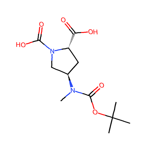 CN(C(=O)OC(C)(C)C)[C@@H]1C[C@@H](C(=O)O)N(C(=O)O)C1